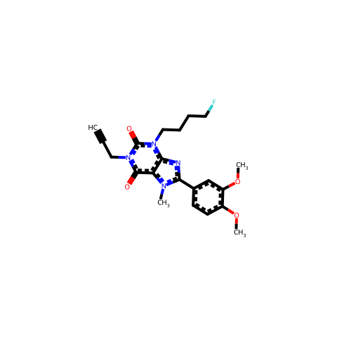 C#CCn1c(=O)c2c(nc(-c3ccc(OC)c(OC)c3)n2C)n(CCCCF)c1=O